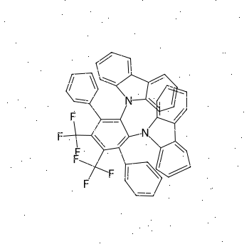 FC(F)(F)c1c(-c2ccccc2)c(-n2c3ccccc3c3ccccc32)c(-n2c3ccccc3c3ccccc32)c(-c2ccccc2)c1C(F)(F)F